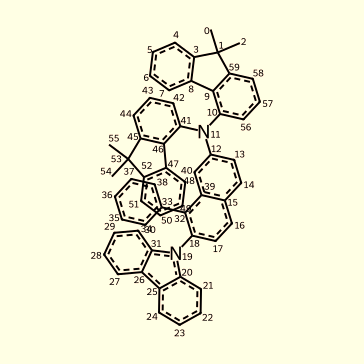 CC1(C)c2ccccc2-c2c(N(c3ccc4ccc(-n5c6ccccc6c6ccccc65)c(-c5ccccc5)c4c3)c3cccc4c3-c3ccccc3C4(C)C)cccc21